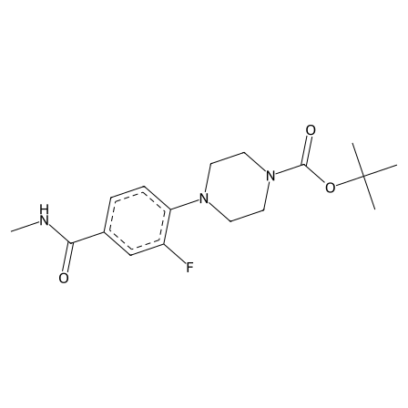 CNC(=O)c1ccc(N2CCN(C(=O)OC(C)(C)C)CC2)c(F)c1